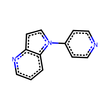 c1cnc2ccn(-c3ccncc3)c2c1